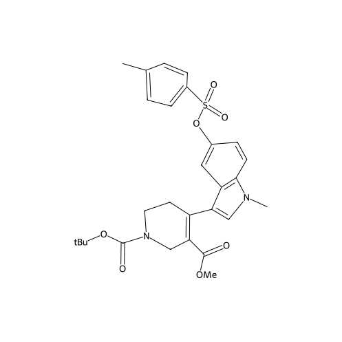 COC(=O)C1=C(c2cn(C)c3ccc(OS(=O)(=O)c4ccc(C)cc4)cc23)CCN(C(=O)OC(C)(C)C)C1